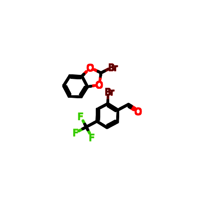 BrC1Oc2ccccc2O1.O=Cc1ccc(C(F)(F)F)cc1Br